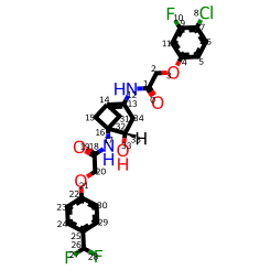 O=C(COc1ccc(Cl)c(F)c1)NC1=C2CC(NC(=O)COc3ccc(C(F)F)cc3)(C2)[C@@H](O)C1